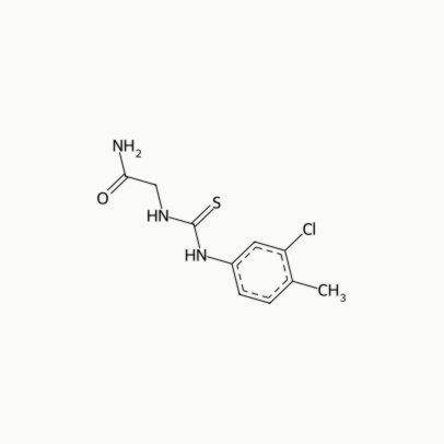 Cc1ccc(NC(=S)NCC(N)=O)cc1Cl